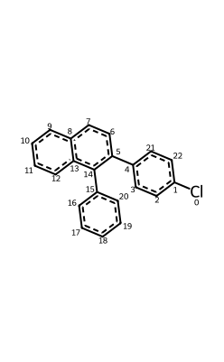 Clc1ccc(-c2ccc3ccccc3c2-c2ccccc2)cc1